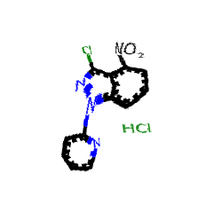 Cl.O=[N+]([O-])c1cccc2c1c(Cl)nn2-c1ccccn1